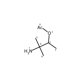 CC(=O)OC(C)C(C)(C)N